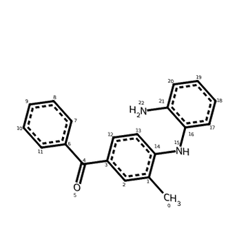 Cc1cc(C(=O)c2ccccc2)ccc1Nc1ccccc1N